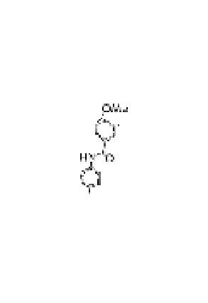 COc1[c]cc(C(=O)Nc2ccc(C)cc2)cc1